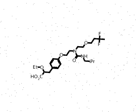 CCOC(Cc1ccc(OCCN(CCOCCC(C)(F)F)C(=O)NCC(C)C)cc1)C(=O)O